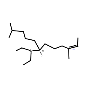 C/[C]=C(/C)CCC[C@](C)(CCCC(C)C)N(CC)CC